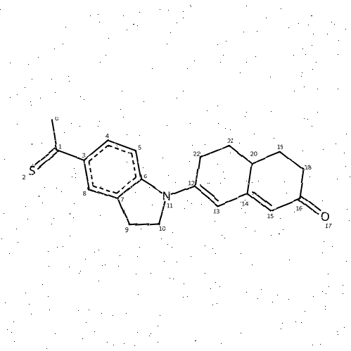 CC(=S)c1ccc2c(c1)CCN2C1=CC2=CC(=O)CCC2CC1